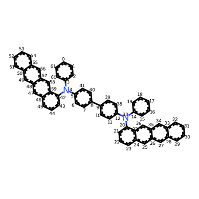 c1ccc(N(c2ccc(-c3ccc(N(c4ccccc4)c4cccc5cc6cc7ccccc7cc6cc45)cc3)cc2)c2cccc3cc4cc5ccccc5cc4cc23)cc1